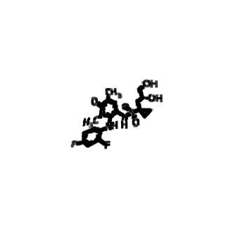 Cc1cc(NS(=O)(=O)C2(C[C@H](O)CO)CC2)c(Nc2ccc(F)cc2F)n(C)c1=O